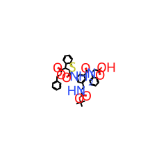 CC(C)(C)OC(=O)NCc1cccc(C(=O)N(CC(=O)O)c2ccccc2)c1.NC(=O)C1SC2C=CC=CC2C1C(=O)OCc1ccccc1